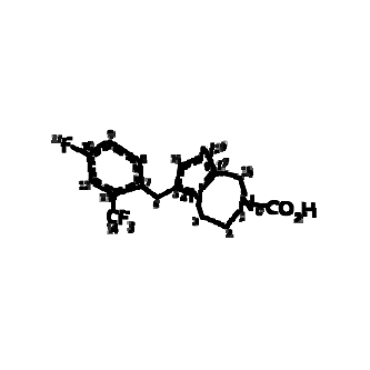 O=C(O)N1CCn2c(Cc3ccc(F)cc3C(F)(F)F)cnc2C1